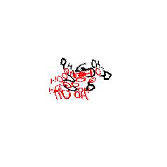 CC1O[C@@H](O[C@@H]2C(O)[C@H](OCc3ccccc3)OC(CO)[C@H]2O[C@@H]2O[C@@H](CO)[C@H](O)C(O)C2O)C(OCc2ccccc2)[C@@H](OCc2ccccc2)[C@@H]1C